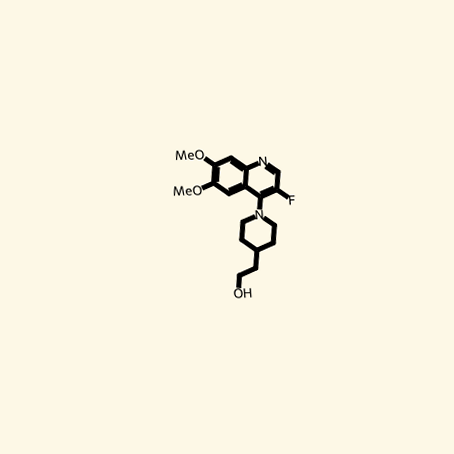 COc1cc2ncc(F)c(N3CCC(CCO)CC3)c2cc1OC